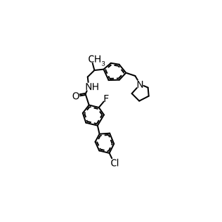 CC(CNC(=O)c1ccc(-c2ccc(Cl)cc2)cc1F)c1ccc(CN2CCCC2)cc1